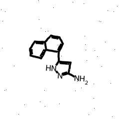 Nc1cc(-c2cccc3ccccc23)[nH]n1